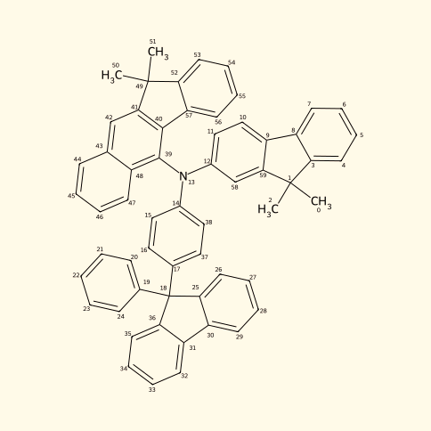 CC1(C)c2ccccc2-c2ccc(N(c3ccc(C4(c5ccccc5)c5ccccc5-c5ccccc54)cc3)c3c4c(cc5ccccc35)C(C)(C)c3ccccc3-4)cc21